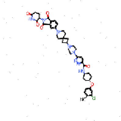 N#Cc1ccc(O[C@H]2CC[C@H](NC(=O)c3ccc(N4CCN(C5CC6(CCN(c7ccc8c(c7)C(=O)N(C7CCC(=O)NC7=O)C8=O)CC6)C5)CC4)nn3)CC2)cc1Cl